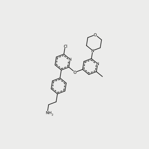 Cc1cc(Oc2nc(Cl)ccc2-c2ccc(CCN)cc2)cc(N2CCOCC2)n1